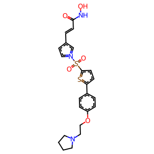 O=C(C=Cc1ccn(S(=O)(=O)c2ccc(-c3ccc(OCCN4CCCC4)cc3)s2)c1)NO